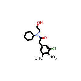 O=Cc1cc(CC(=O)N(CCO)C2CCCCC2)cc(Cl)c1[N+](=O)[O-]